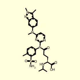 Cc1ccc(N(C(=O)CC[C@H](NC(C)C)C(=O)O)c2nccc(N(C)c3ccc4c(C)n(C)nc4c3)n2)cc1S(N)(=O)=O